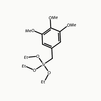 CCO[Si](Cc1cc(OC)c(OC)c(OC)c1)(OCC)OCC